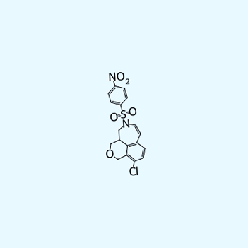 O=[N+]([O-])c1ccc(S(=O)(=O)N2C=Cc3ccc(Cl)c4c3C(COC4)C2)cc1